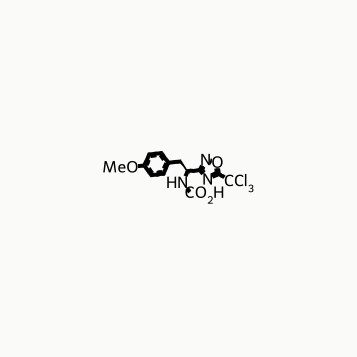 COc1ccc(C[C@H](NC(=O)O)c2noc(C(Cl)(Cl)Cl)n2)cc1